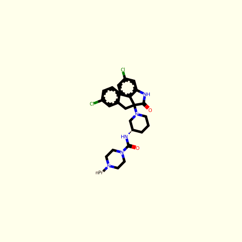 CCCN1CCN(C(=O)N[C@H]2CCCN(C3(Cc4cccc(Cl)c4)C(=O)Nc4cc(Cl)ccc43)C2)CC1